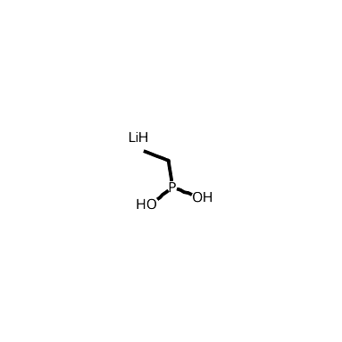 CCP(O)O.[LiH]